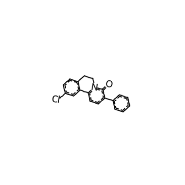 O=c1c(-c2ccccc2)ccc2n1CCc1ccc(Cl)cc1-2